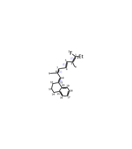 CC/C(F)=C(C)/C=C/C=C(C)\C=C1/CCCc2ccccc21